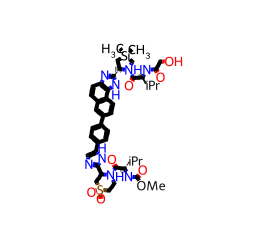 COC(=O)N[C@H](C(=O)N1CCS(=O)(=O)CC1c1ncc(-c2ccc(-c3ccc4c(ccc5nc([C@@H]6C[Si](C)(C)CN6C(=O)[C@@H](NC(=O)CO)C(C)C)[nH]c54)c3)cc2)[nH]1)C(C)C